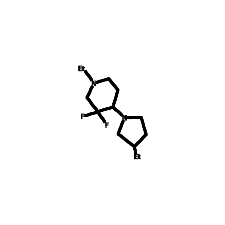 CCC1CCN(C2CCN(CC)CC2(F)F)C1